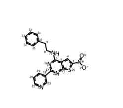 O=[N+]([O-])c1cc2c(NCCc3ccccc3)nc(-c3cccnc3)nc2s1